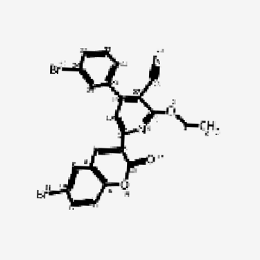 CCOc1nc(-c2cc3cc(Br)ccc3oc2=O)cc(-c2cccc(Br)c2)c1C#N